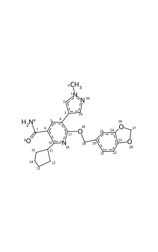 Cn1cc(-c2cc(C(N)=O)c(C3CCCC3)nc2OCc2ccc3c(c2)OCO3)cn1